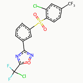 O=S(=O)(c1[c]ccc(-c2noc(C(F)(F)Cl)n2)c1)c1ccc(C(F)(F)F)cc1Cl